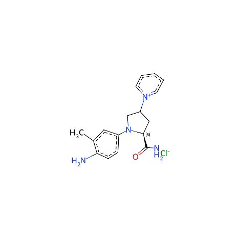 Cc1cc(N2CC([n+]3ccccc3)C[C@H]2C(N)=O)ccc1N.[Cl-]